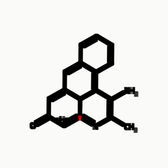 CCCCCCC1=NC(C)=C(N)C2=c3ccccc3=CC3=CC(=O)C=CC312